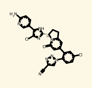 N#Cc1cn(-c2ccc(Cl)cc2-c2cc3n(c(=O)c2)[C@H](c2nc(Cl)c(-c4ccc(N)nc4)[nH]2)CC3)nn1